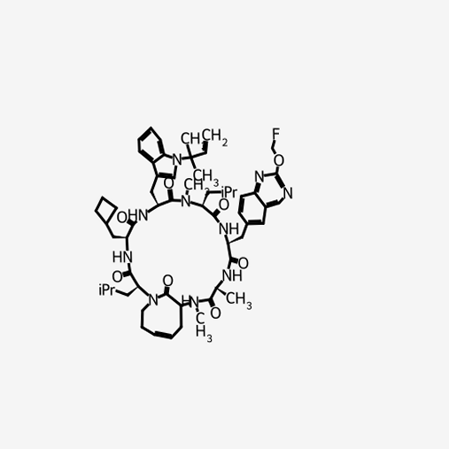 C=CC(C)(C)n1cc(C[C@@H]2NC(=O)[C@H](CC3CCC3)NC(=O)[C@H](CC(C)C)N3CC/C=C\C[C@@H](C3=O)N(C)C(=O)[C@H](C)NC(=O)[C@H](Cc3ccc4nc(OCF)ncc4c3)NC(=O)[C@H](CC(C)C)N(C)C2=O)c2ccccc21